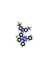 CC(C)(C)c1ccc2c(c1)c1cc(C(C)(C)C)ccc1n2-c1ccc(-c2ccccc2F)c(-c2nc(-c3ccccc3)nc(-c3ccccc3)n2)c1